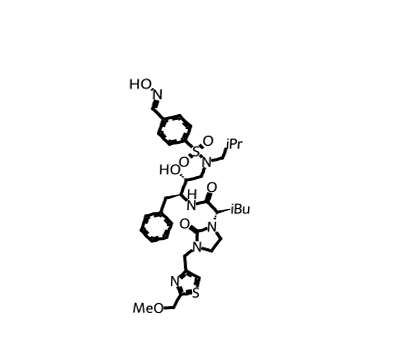 CC[C@H](C)[C@@H](C(=O)N[C@@H](Cc1ccccc1)[C@H](O)CN(CC(C)C)S(=O)(=O)c1ccc(C=NO)cc1)N1CCN(Cc2csc(COC)n2)C1=O